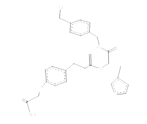 NCc1ccc(CNC(=O)[C@H](Cc2ccsc2)NC(=O)[CH]Cc2ccc(OCC(N)=O)cc2)cc1